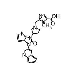 Cn1c(C(=O)O)cnc1CN1CCC(n2c(=O)n(-c3cnc4ccccc4c3)c3cccnc32)C1